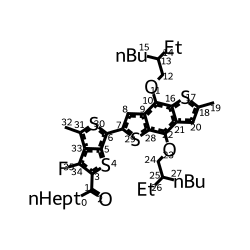 CCCCCCCC(=O)c1sc2c(-c3cc4c(OCC(CC)CCCC)c5sc(C)cc5c(OCC(CC)CCCC)c4s3)sc(C)c2c1F